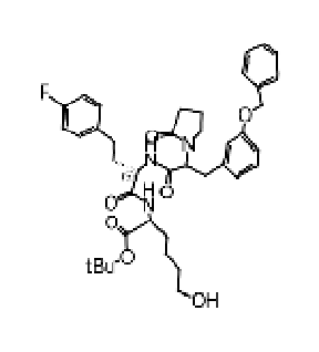 CC(C)(C)OC(=O)C(CCCCO)NC(=O)[C@H](CCc1ccc(F)cc1)NC(=O)C(Cc1cccc(OCc2ccccc2)c1)N1CCCC1=O